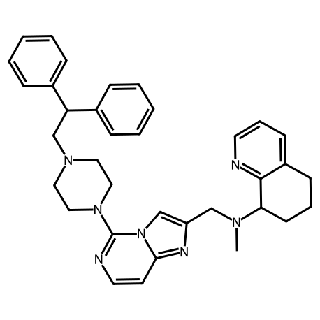 CN(Cc1cn2c(N3CCN(CC(c4ccccc4)c4ccccc4)CC3)nccc2n1)C1CCCc2cccnc21